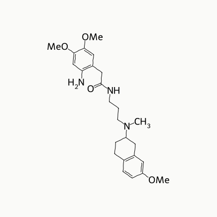 COc1ccc2c(c1)CC(N(C)CCCNC(=O)Cc1cc(OC)c(OC)cc1N)CC2